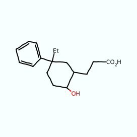 CCC1(c2ccccc2)CCC(O)C(CCC(=O)O)C1